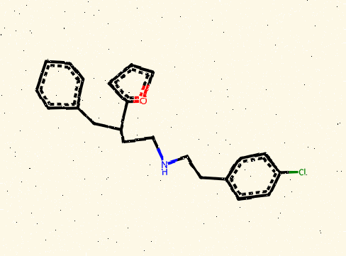 Clc1ccc(CCNCCC(Cc2ccccc2)c2ccco2)cc1